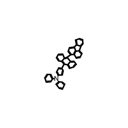 c1ccc(N(c2ccccc2)c2ccc(-c3c4ccccc4c(-c4ccc5c6c(cccc46)-c4ccccc4-5)c4ccccc34)cc2)cc1